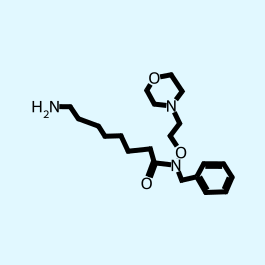 NCCCCCCCC(=O)N(Cc1ccccc1)OCCN1CCOCC1